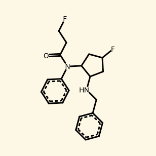 O=C(CCF)N(c1ccccc1)C1CC(F)CC1NCc1ccccc1